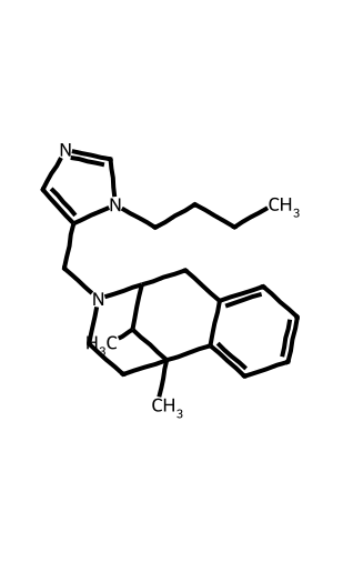 CCCCn1cncc1CN1CCC2(C)c3ccccc3CC1C2C